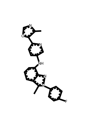 Cc1ncoc1-c1ccc(Nc2cccc3c(C)n(-c4ccc(F)cc4)nc23)cn1